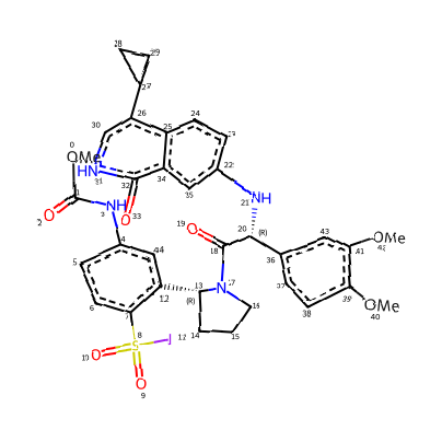 COC(=O)Nc1ccc(S(=O)(=O)I)c([C@H]2CCCN2C(=O)[C@H](Nc2ccc3c(C4CC4)c[nH]c(=O)c3c2)c2ccc(OC)c(OC)c2)c1